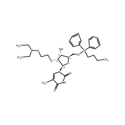 CCCC[Si](OC[C@H]1O[C@@H](n2cc(C)c(=O)[nH]c2=O)[C@H](OCCON(CC)CC)[C@@H]1O)(c1ccccc1)c1ccccc1